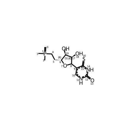 C=P(C)(C)CC[C@H]1OC(c2c[nH]c(=O)[nH]c2=S)[C@H](O)[C@@H]1O